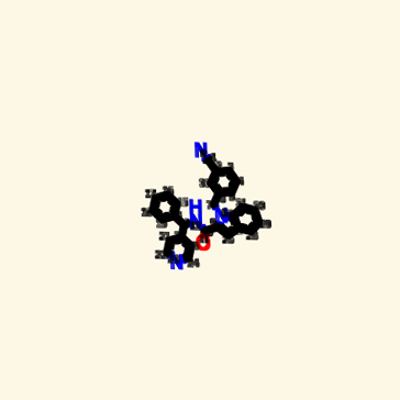 N#Cc1cccc(Cn2c(C(=O)NC(c3ccccc3)c3ccncc3)cc3ccccc32)c1